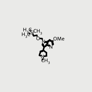 COc1cnc2c(C3=CCN(C)CC3)cn(COCC[Si](C)(C)C)c2c1